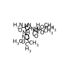 COc1nc(Nc2cc(N[C@@H]3CCOC[C@@H]3NC(=O)OC(C)(C)C)nnc2C(N)=O)ccc1C(C)C